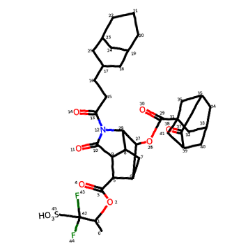 CC(OC(=O)C1C2CC3C1C(=O)N(C(=O)CCC1CC4CCCC(C4)C1)C3C2OC(=O)C12CC3CC(C1)C(=O)C(C3)C2)C(F)(F)S(=O)(=O)O